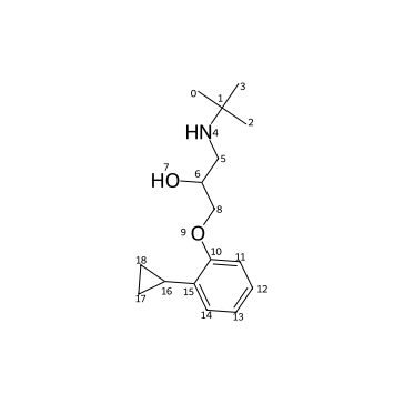 CC(C)(C)NCC(O)COc1ccccc1C1CC1